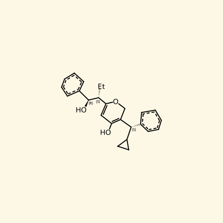 CC[C@H](C1=CC(O)=C([C@H](c2ccccc2)C2CC2)CO1)[C@@H](O)c1ccccc1